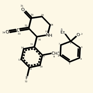 CCC1([O])C=CC=CC1.Cc1cc(F)ccc1C1NCCC(=O)C1=C=O